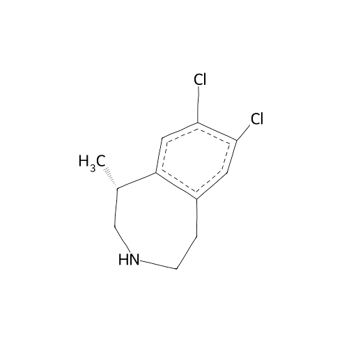 C[C@H]1CNCCc2cc(Cl)c(Cl)cc21